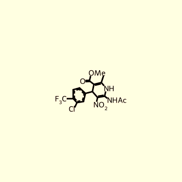 COC(=O)C1=C(C)NC(NC(C)=O)=C([N+](=O)[O-])C1c1ccc(C(F)(F)F)c(Cl)c1